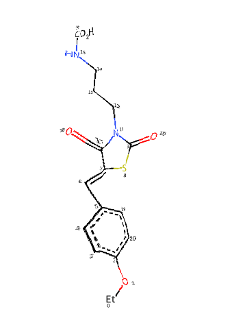 CCOc1ccc(/C=C2\SC(=O)N(CCCNC(=O)O)C2=O)cc1